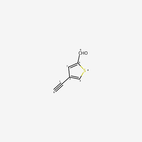 C#Cc1csc(C=O)c1